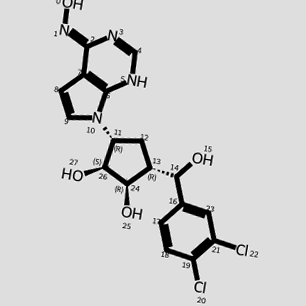 ON=c1nc[nH]c2c1ccn2[C@@H]1C[C@H](C(O)c2ccc(Cl)c(Cl)c2)[C@@H](O)[C@H]1O